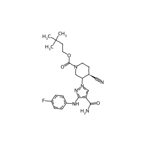 CC(C)(C)CCOC(=O)N1CC[C@@H](C#N)C(n2cc(C(N)=O)c(Nc3ccc(F)cc3)n2)C1